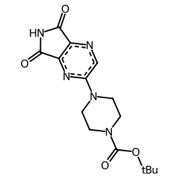 CC(C)(C)OC(=O)N1CCN(c2cnc3c(n2)C(=O)NC3=O)CC1